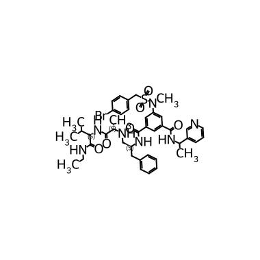 CCNC(=O)[C@@H](NC(=O)[C@H](C)NC[C@H](Cc1ccccc1)NC(=O)c1cc(C(=O)NC(C)c2cccnc2)cc(N(C)S(=O)(=O)Cc2ccc(Br)cc2)c1)C(C)C